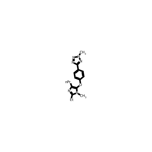 CCCc1nc(CC)n(C)c1Oc1ccc(-c2nnn(C)n2)cc1